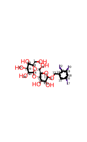 OC[C@H]1OC(O[C@H]2[C@H](O)[C@@H](O)C(OCc3cc(I)cc(I)c3I)O[C@@H]2CO)[C@H](O)[C@@H](O)[C@H]1O